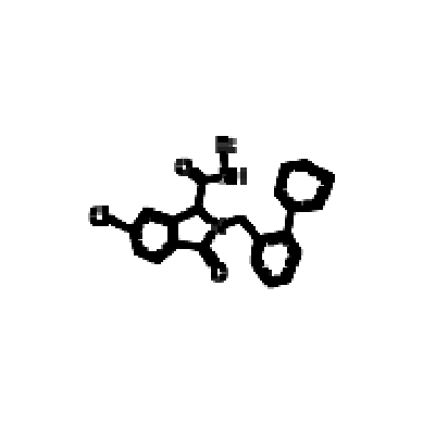 CCNC(=O)C1c2cc(Cl)ccc2C(=O)N1Cc1ccccc1-c1ccccc1